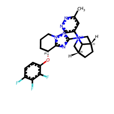 Cc1cc(N2C[C@H]3CC[C@@H](C2)C3Nc2nc3n(n2)CCC[C@H]3Oc2ccc(F)c(F)c2F)cnn1